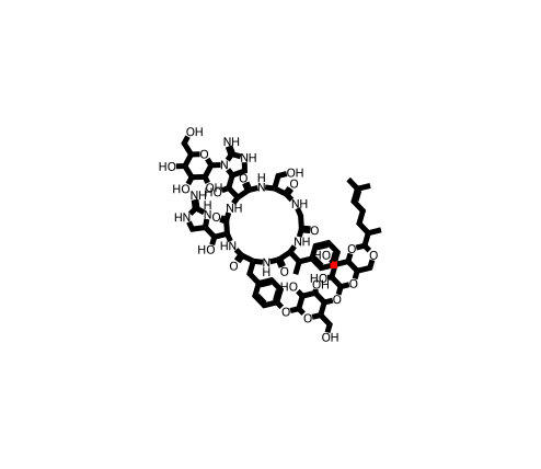 CC(C)=CCCC(C)C1OCC2OC(OC3C(CO)OC(Oc4ccc(CC5NC(=O)C(C(C)c6ccccc6)NC(=O)CNC(=O)C(CO)NC(=O)C(C(O)C6CNC(=N)N6C6OC(CO)C(O)C(O)C6O)NC(=O)C(C(O)C6CNC(=N)N6)NC5=O)cc4)C(O)C3O)C(O)C(O)C2O1